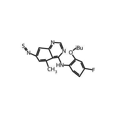 CCC(C)Oc1cc(F)ccc1Nc1ncnc2cc(N=S)cc(C)c12